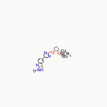 CC(C)(C)[Si](C)(C)O[C@@H]1CCC[C@H]1OCc1ncc(-c2ccc3nc(NC4CC4)sc3c2)cn1